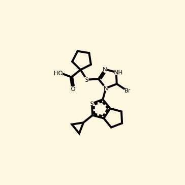 O=C(O)C1(SC2=NNC(Br)N2c2sc(C3CC3)c3c2CCC3)CCCC1